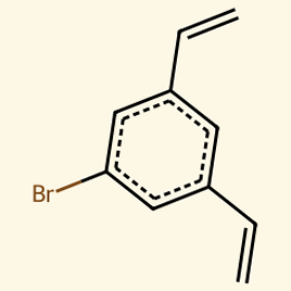 C=Cc1cc(Br)cc(C=C)c1